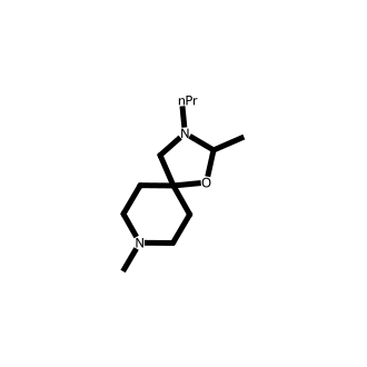 C[CH]CN1CC2(CCN(C)CC2)OC1C